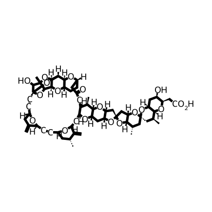 C=C1C[C@@H]2CC[C@]34OC5[C@@H]6O[C@H]7CC[C@H](CC(=O)C[C@@H]8[C@@H](C)[C@@H]9O[C@@H]%10C[C@]%11(C[C@@H]%12O[C@]%13(C[C@H](C)[C@@H]%14O[C@H](CC(=O)O)[C@H](O)C[C@@H]%14O%13)C[C@H](C)[C@@H]%12O%11)O[C@@H]%10C[C@@H]9O[C@H]8C[C@H]8O[C@@H](CC[C@@H]1O2)C[C@@H](C)C8=C)O[C@@H]7[C@H](O3)[C@@H]6OC5(C)C4O